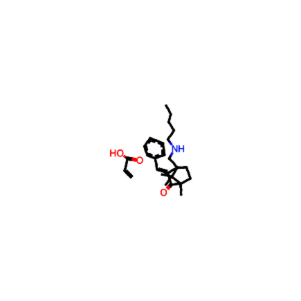 C=CC(=O)O.CCCCCNCC12CCC(C)(C(=O)C1=Cc1ccccc1)C2(C)C